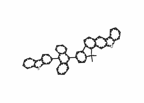 CC1(C)c2ccc(-c3c4ccccc4c(-c4ccc5c(c4)sc4ccccc45)c4ccccc34)cc2-c2ccc3cc4c(cc3c21)oc1ccccc14